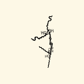 CC/C=C\C/C=C\C/C=C\CCCCCCC(O)CN(CC(O)CCCCCC/C=C\C/C=C\C/C=C\CC)C(C)CCSSCCN1CCN(CCOC(=O)CCCN(CC(O)CCCCCCCCCC)CC(O)CCCCCCCCCC)CC1